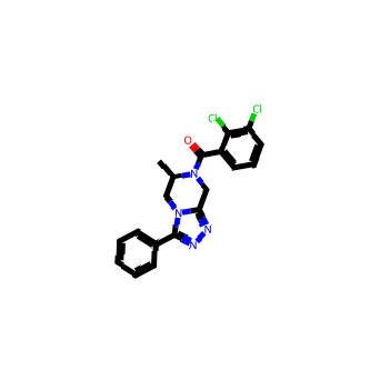 CC1Cn2c(nnc2-c2ccccc2)CN1C(=O)c1cccc(Cl)c1Cl